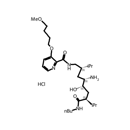 CCCCNC(=O)[C@@H](C[C@H](O)[C@@H](N)C[C@H](CNC(=O)c1ncccc1OCCCCOC)C(C)C)C(C)C.Cl